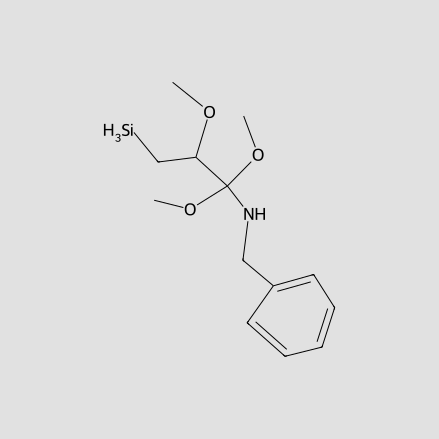 COC(C[SiH3])C(NCc1ccccc1)(OC)OC